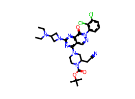 CCN(CC)C1CN(c2nc(N3CCN(C(=O)OC(C)(C)C)C(CC#N)C3)c3cnn(-c4cccc(Cl)c4Cl)c(=O)c3n2)C1